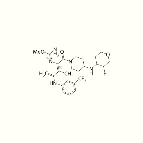 C=C(Nc1cccc(C(F)(F)F)c1)/C(C)=C(\N=C(/N)OC)C(=O)N1CCC(NC2CCOCC2F)CC1